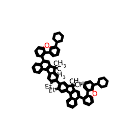 CCc1cc2c(cc1-c1cc3c(cc1CC)-c1c(cc(-c4cccc5oc6c(C7CCCCC7)cccc6c45)c4ccccc14)C3(C)C)C(C)(C)c1cc(-c3cccc4oc5c(C6CCCCC6)cccc5c34)c3ccccc3c1-2